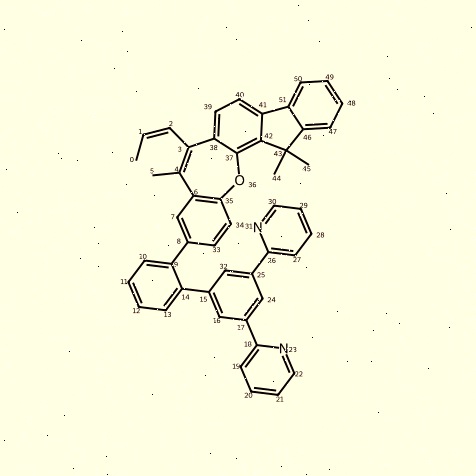 C/C=C\C1=C(C)c2cc(-c3ccccc3-c3cc(-c4ccccn4)cc(-c4ccccn4)c3)ccc2Oc2c1ccc1c2C(C)(C)c2ccccc2-1